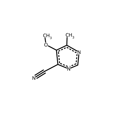 COc1c(C)ncnc1C#N